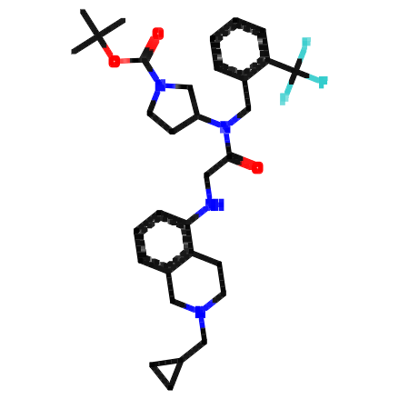 CC(C)(C)OC(=O)N1CCC(N(Cc2ccccc2C(F)(F)F)C(=O)CNc2cccc3c2CCN(CC2CC2)C3)C1